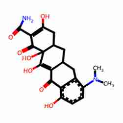 CN(C)c1ccc(O)c2c1CC1CC3CC(O)=C(C(N)=O)C(=O)C3(O)C(O)=C1C2=O